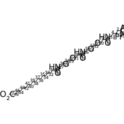 CC(=O)C(CCCCNC(=O)CCOCCOCCNC(=O)CCOCCOCCNC(=O)CCCCCCCCCCCCCCCCC(=O)O)NC(C)C